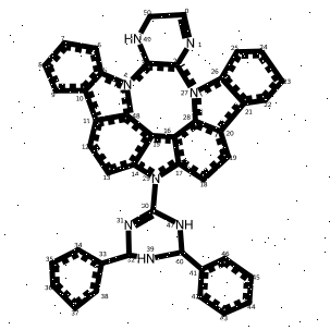 C1=Nc2c(n3c4ccccc4c4ccc5c(c6c(ccc7c8ccccc8n2c76)n5C2=NC(c5ccccc5)NC(c5ccccc5)N2)c43)NC1